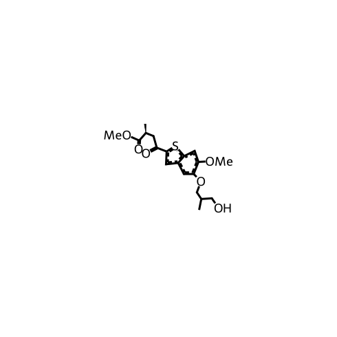 COC(=O)[C@@H](C)CC(=O)c1cc2cc(OCC(C)CO)c(OC)cc2s1